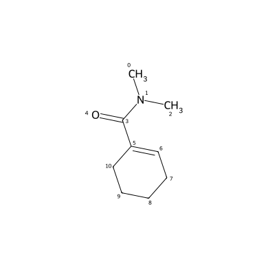 CN(C)C(=O)C1=CCCCC1